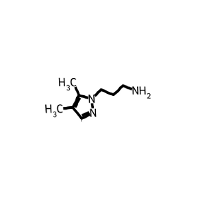 Cc1[c]nn(CCCN)c1C